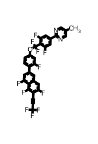 Cc1cnc(-c2cc(F)c(C(F)(F)Oc3ccc(-c4cc(F)c5c(F)c(C#CC(F)(F)F)c(F)cc5c4)c(F)c3)c(F)c2)nc1